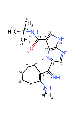 CNC1=C(C(=N)c2cnc3[nH]cc(C(=O)NC(C)(C)C)c3n2)CCCCC1